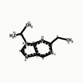 CCc1ncc2ncn(C(C)C)c2n1